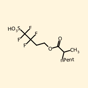 CCCCCC(C)C(=O)OCCC(F)(F)C(F)(F)S(=O)(=O)O